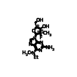 CCN(C)c1nc(N)nc2c1ncn2C1O[C@H](CO)[C@@H](O)[C@@]1(C)F